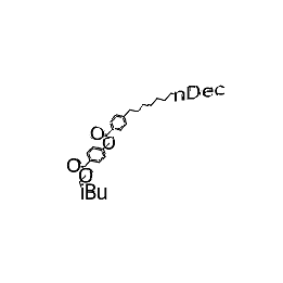 CCCCCCCCCCCCCCCCCc1ccc(C(=O)Oc2ccc(C(=O)OCC(C)CC)cc2)cc1